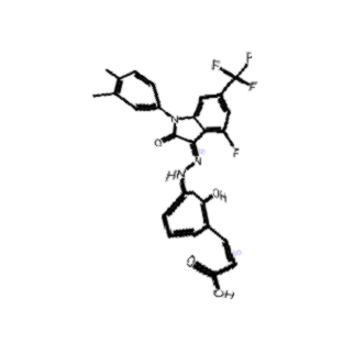 Cc1ccc(N2C(=O)/C(=N\Nc3cccc(/C=C\C(=O)O)c3O)c3c(F)cc(C(F)(F)F)cc32)cc1C